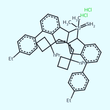 CCCC1(CC2=Cc3c(-c4ccc(CC)cc4)cccc3[CH]2[Zr]([CH3])([CH3])(=[SiH2])[CH]2C(CC3(CCC)CCC3)=Cc3c(-c4ccc(CC)cc4)cccc32)CCC1.Cl.Cl